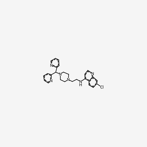 Clc1ccc2c(NCCN3CCN(C(c4ccccn4)c4ccccn4)CC3)ccnc2c1